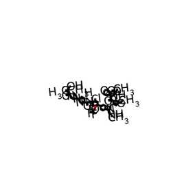 CN/C=C(\N=C\[C@@H]1CC(OC)CN1C(=O)C(NC(=O)OC)C1CCOCC1)c1ccc(-c2cc(Cl)c(NC(=O)c3ccc(N4CCN(C(=O)C(C)(C)CO)CC4)nc3)cc2OC(F)(F)F)cc1